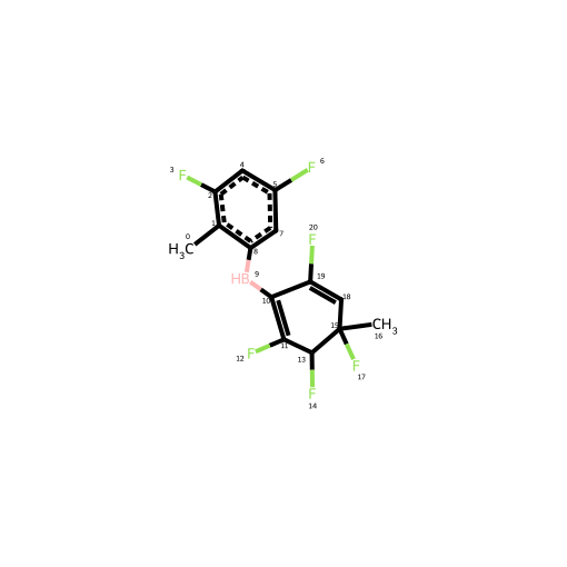 Cc1c(F)cc(F)cc1BC1=C(F)C(F)C(C)(F)C=C1F